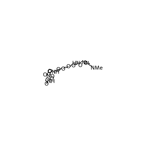 CNCCCN1CCN(CC(=O)NCCOCCOCCOCCOCCNc2cccc3c2C(=O)N(C2CCC(=O)NC2=O)C3=O)CC1